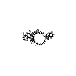 CO[C@]1(C)C[C@@H](C)CN(C)CCCN(S(=O)(=O)c2ccccc2)CCOC(=O)C(C)(C)C(=O)[C@H](C)[C@H]1O[C@@H]1O[C@H](C)C[C@H](N(C)C)[C@H]1O